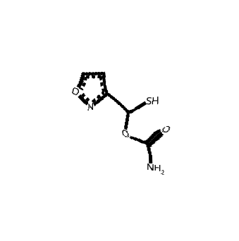 NC(=O)OC(S)c1ccon1